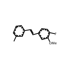 COc1cc(C=Cc2cccc(C)c2)ccc1F